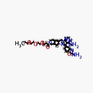 CCCOCCOCCOCCC(=O)N1CCc2cc(Cn3nc(-c4ccc5oc(N)nc5c4)c4c(N)ncnc43)ccc2C1